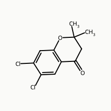 CC1(C)CC(=O)c2cc(Cl)c(Cl)cc2O1